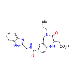 CC(C)(C)CCN1Cc2cc(C(=O)NCc3nc4ccccc4[nH]3)ccc2NC(CC(=O)O)C1=O